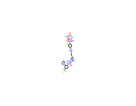 CC(C)(C(=O)Nc1ccc(C(F)(F)F)cc1-n1cccn1)n1cc(C#CC2CN(c3ccc(C(=O)NC4CCC(=O)NC4=O)c(F)c3)C2)cn1